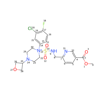 COC(=O)c1ccc(CNS(=O)(=O)[N+]2(c3ccc(F)c(Cl)c3)CCN(C3COC3)CC2)nc1